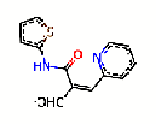 O=[C]C(=Cc1ccccn1)C(=O)Nc1cccs1